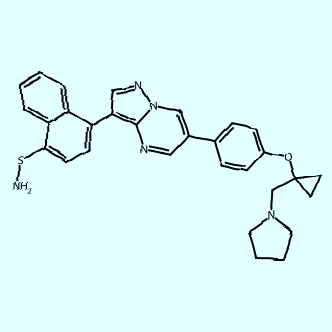 NSc1ccc(-c2cnn3cc(-c4ccc(OC5(CN6CCCC6)CC5)cc4)cnc23)c2ccccc12